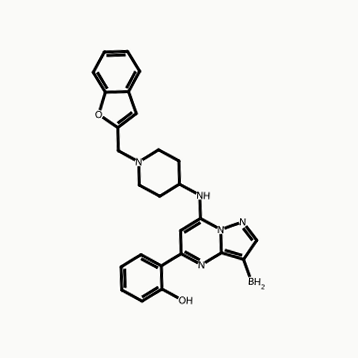 Bc1cnn2c(NC3CCN(Cc4cc5ccccc5o4)CC3)cc(-c3ccccc3O)nc12